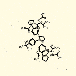 CC(C)[C@H](NC(=O)O)C(=O)N1CCC[C@@]1(C(N)=O)c1ccc([C@H]2CC[C@H](c3ccc([C@]4(C(N)=O)CCCN4C(=O)[C@@H](NC(=O)O)C(C)C)nc3)N2c2ccc(C(C)(C)C)cc2)cn1